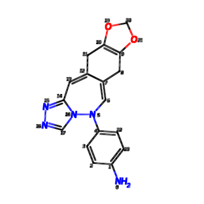 Nc1ccc(N2C=C3CC4=C(CC3=Cc3nncn32)OCO4)cc1